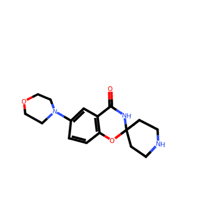 O=C1NC2(CCNCC2)Oc2ccc(N3CCOCC3)cc21